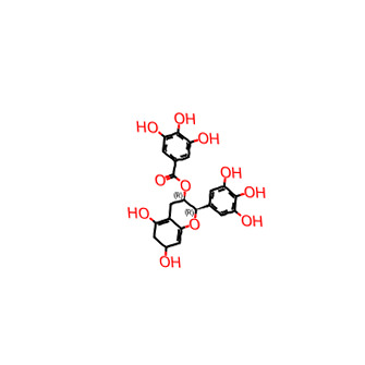 O=C(O[C@@H]1CC2=C(O)CC(O)C=C2O[C@@H]1c1cc(O)c(O)c(O)c1)c1cc(O)c(O)c(O)c1